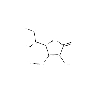 O=C1O[C@H]([C@@H](O)CO)C(OO)=C1O